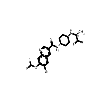 C[C@H](N[C@H]1CC[C@H](NC(=O)c2cnc3cc(OC(F)F)c(Br)cc3c2)CC1)C(F)F